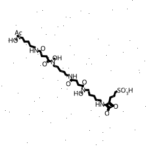 CC(=O)N(O)CCCCCNC(=O)CCC(=O)N(O)CCCCCNC(=O)CCC(=O)N(O)CCCCCNc1c(CCCS(=O)(=O)O)c(=O)c1=O